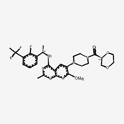 COc1nc2nc(C)nc(N[C@H](C)c3cccc(C(C)(F)F)c3F)c2cc1N1CCN(C(=O)[C@@H]2COCCO2)CC1